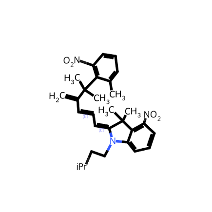 C=C(/C=C/C=C1/N(CCC(C)C)c2cccc([N+](=O)[O-])c2C1(C)C)C(C)(C)c1c(C)cccc1[N+](=O)[O-]